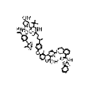 Cc1ncsc1-c1ccc(C(C)NC(=O)[C@@H]2C[C@@H](O)CN2C(=O)C(NC(=O)CCC(C)c2ccc(Oc3cccc(-c4ccc(N5CCc6cccc(C(=O)Nc7nc8ccccc8s7)c6C5)nc4C(=O)O)c3C)cc2)C(C)(C)C)cc1